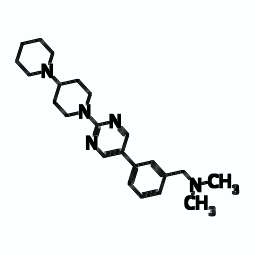 CN(C)Cc1cccc(-c2cnc(N3CCC(N4CCCCC4)CC3)nc2)c1